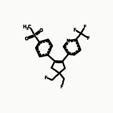 CS(=O)(=O)c1ccc(C2=C(c3ccc(C(F)(F)F)nc3)CC(CF)(CF)C2)cc1